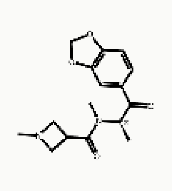 C[C@H](C(=O)c1ccc2c(c1)OCO2)N(C)C(=O)C1CN(C)C1